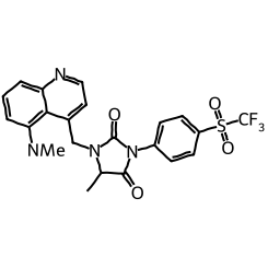 CNc1cccc2nccc(CN3C(=O)N(c4ccc(S(=O)(=O)C(F)(F)F)cc4)C(=O)C3C)c12